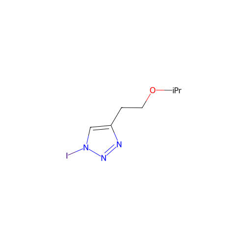 CC(C)OCCc1cn(I)nn1